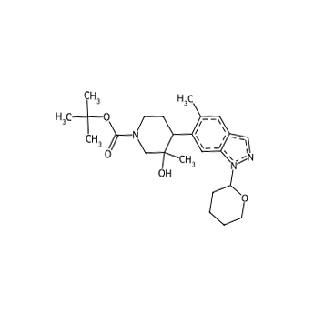 Cc1cc2cnn(C3CCCCO3)c2cc1C1CCN(C(=O)OC(C)(C)C)CC1(C)O